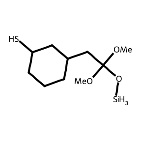 COC(CC1CCCC(S)C1)(OC)O[SiH3]